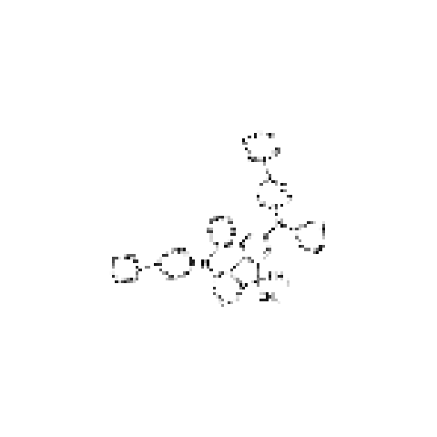 CC1(C)c2cc(N(c3ccccc3)c3ccc(-c4ccccc4)cc3)ccc2-c2c(N(c3ccccc3)c3ccc(-c4ccccc4)cc3)cccc21